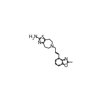 Cc1nc2c(/C=C/CN3CCc4nc(N)sc4CC3)cccc2o1